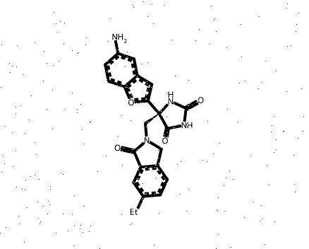 CCc1ccc2c(c1)C(=O)N(C[C@@]1(c3cc4cc(N)ccc4o3)NC(=O)NC1=O)C2